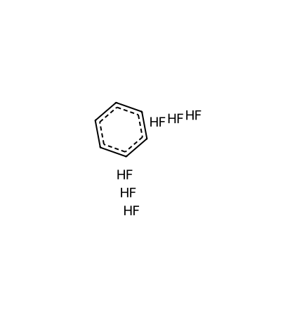 F.F.F.F.F.F.c1ccccc1